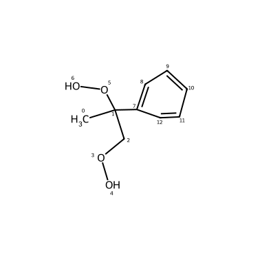 CC(COO)(OO)c1ccccc1